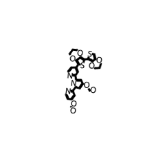 O=COc1ccnc(-c2cc(OC=O)cc(-c3cc(-c4sc(-c5scc6c5OCCCO6)c5c4OCCCO5)ccn3)n2)c1